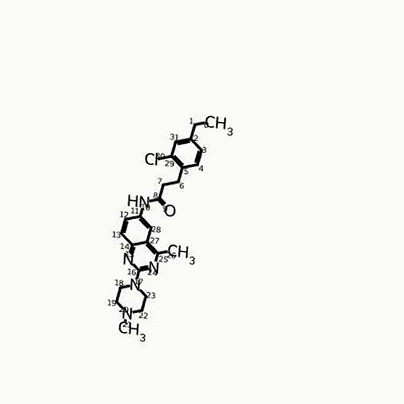 CCc1ccc(CCC(=O)Nc2ccc3nc(N4CCN(C)CC4)nc(C)c3c2)c(Cl)c1